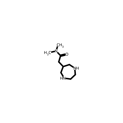 CN(C)C(=O)CC1CNCCNC1